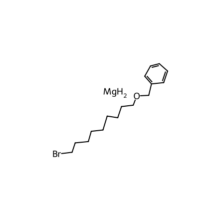 BrCCCCCCCCCOCc1ccccc1.[MgH2]